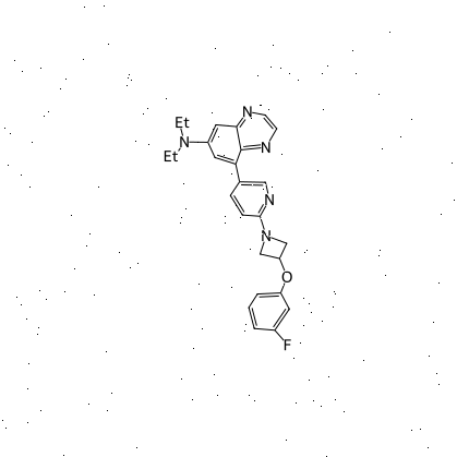 CCN(CC)c1cc(-c2ccc(N3CC(Oc4cccc(F)c4)C3)nc2)c2nccnc2c1